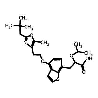 Cc1oc(CC(C)(C)C)nc1CCOc1ccc(CC(OC(C)C)C(=O)O)c2sccc12